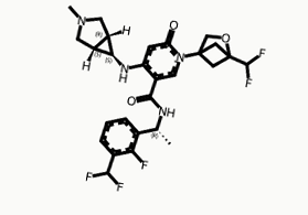 C[C@@H](NC(=O)c1cn(C23COC(C(F)F)(C2)C3)c(=O)cc1N[C@H]1[C@@H]2CN(C)C[C@@H]21)c1cccc(C(F)F)c1F